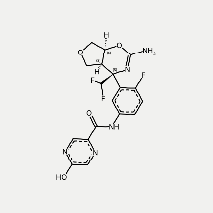 NC1=N[C@@](c2cc(NC(=O)c3cnc(O)cn3)ccc2F)(C(F)F)[C@H]2COC[C@H]2O1